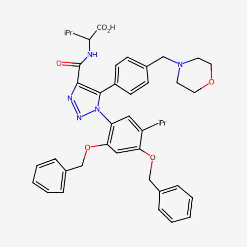 CC(C)c1cc(-n2nnc(C(=O)NC(C(=O)O)C(C)C)c2-c2ccc(CN3CCOCC3)cc2)c(OCc2ccccc2)cc1OCc1ccccc1